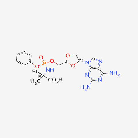 CC[C@@](C)(NP(=O)(OCC1OC[C@H](n2cnc3c(N)nc(N)nc32)O1)Oc1ccccc1)C(=O)O